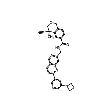 C[C@@]1(C#N)COCc2ccc(C(=O)NCc3cc4nc(-c5cncc(N6CCC6)c5)ccc4cn3)cc21